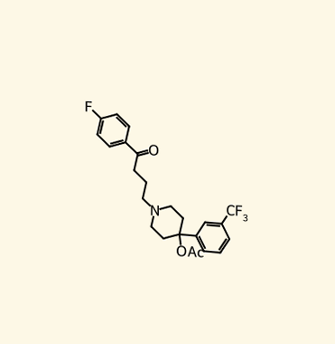 CC(=O)OC1(c2cccc(C(F)(F)F)c2)CCN(CCCC(=O)c2ccc(F)cc2)CC1